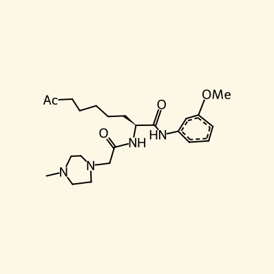 COc1cccc(NC(=O)[C@H](CCCCCC(C)=O)NC(=O)CN2CCN(C)CC2)c1